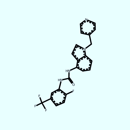 O=C(Nc1cc(C(F)(F)F)ccc1F)Nc1cccc2c1ccn2Cc1ccncc1